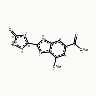 COC(=O)c1cc(OC)c2oc(-c3n[nH]c(=O)o3)nc2c1